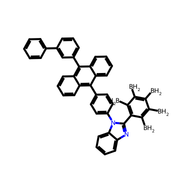 Bc1c(B)c(B)c(-c2nc3ccccc3n2-c2ccc(-c3c4ccccc4c(-c4cccc(-c5ccccc5)c4)c4ccccc34)cc2)c(B)c1B